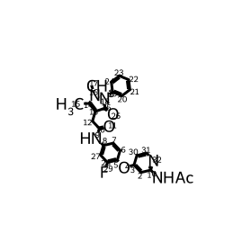 CC(=O)Nc1cc(Oc2ccc(NC(=O)Cc3c(C)n(C)n(-c4ccccc4)c3=O)cc2F)ccn1